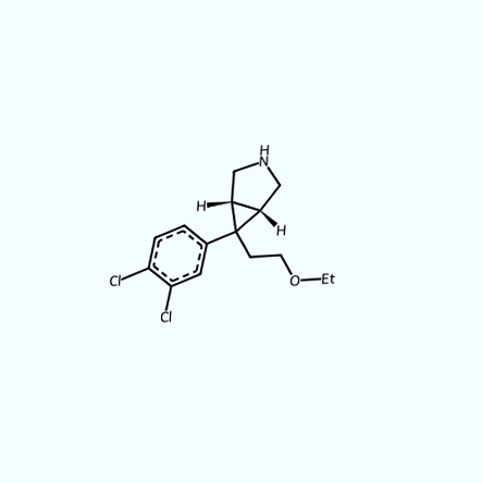 CCOCCC1(c2ccc(Cl)c(Cl)c2)[C@@H]2CNC[C@@H]21